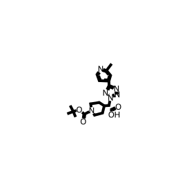 Cc1cc(-c2nnn(CC3CCN(C(=O)OC(C)(C)C)CC3)n2)ccn1.O=CO